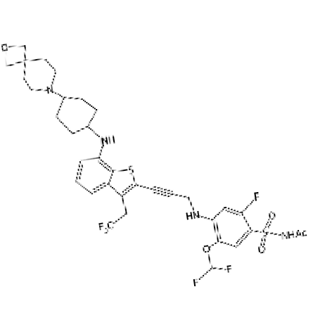 CC(=O)NS(=O)(=O)c1cc(OC(F)F)c(NCC#Cc2sc3c(NC4CCC(N5CCC6(CC5)COC6)CC4)cccc3c2CC(F)(F)F)cc1F